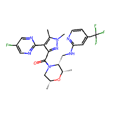 Cc1c(-c2ncc(F)cn2)c(C(=O)N2C[C@@H](C)O[C@@H](C)[C@H]2CNc2cc(C(F)(F)F)ccn2)nn1C